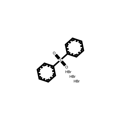 Br.Br.Br.O=S(=O)(c1ccccc1)c1ccccc1